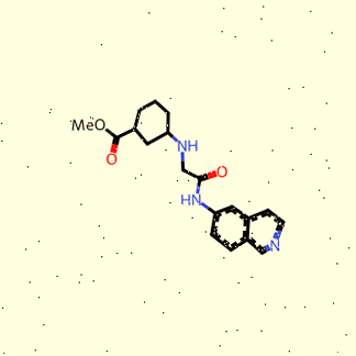 COC(=O)C1CCCC(NCC(=O)Nc2ccc3cnccc3c2)C1